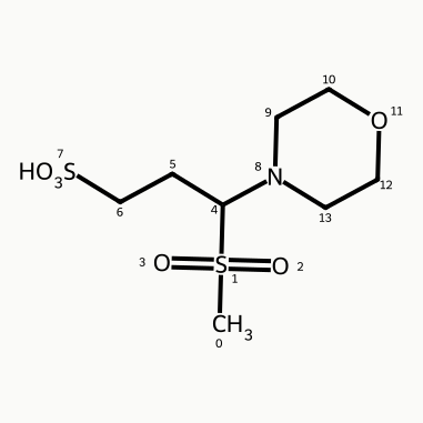 CS(=O)(=O)C(CCS(=O)(=O)O)N1CCOCC1